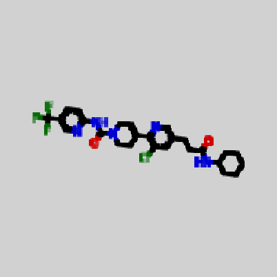 O=C(CCc1cnc(C2=CCN(C(=O)Nc3ccc(C(F)(F)F)cn3)CC2)c(Cl)c1)NC1CCCCC1